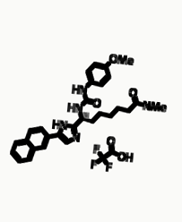 CNC(=O)CCCCC[C@H](NC(=O)Nc1ccc(OC)cc1)c1ncc(-c2ccc3ccccc3c2)[nH]1.O=C(O)C(F)(F)F